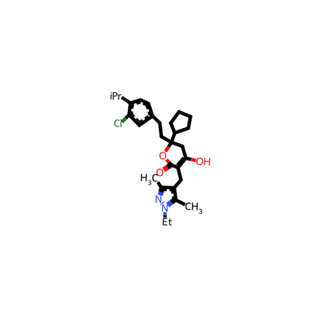 CCn1nc(C)c(CC2=C(O)CC(CCc3ccc(C(C)C)c(Cl)c3)(C3CCCC3)OC2=O)c1C